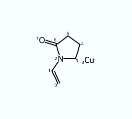 C=CN1CCCC1=O.[Cu]